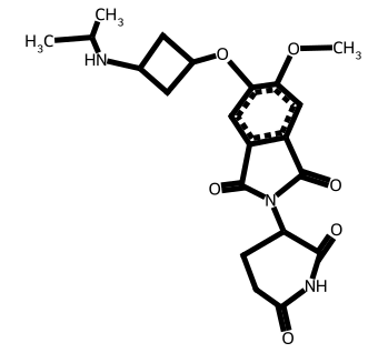 COc1cc2c(cc1OC1CC(NC(C)C)C1)C(=O)N(C1CCC(=O)NC1=O)C2=O